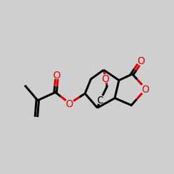 C=C(C)C(=O)OC1CC2OCCC1C1COC(=O)C21